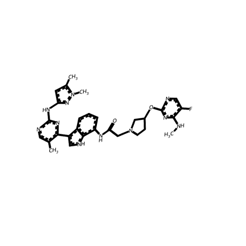 CNc1nc(OC2CCN(CC(=O)Nc3cccc4c(-c5nc(Nc6cc(C)n(C)n6)ncc5C)c[nH]c34)C2)ncc1F